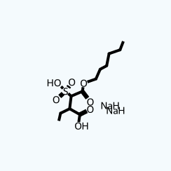 CCCCCCOC(=O)C(C(CC)C(=O)O)S(=O)(=O)O.[NaH].[NaH]